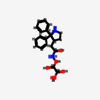 O=C(CC1CCNC1(c1ccccc1)c1ccccc1)NOC(=O)C(=O)O